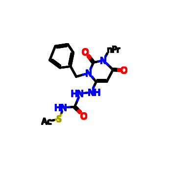 CCCn1c(=O)cc(NNC(=O)NSC(C)=O)n(Cc2ccccc2)c1=O